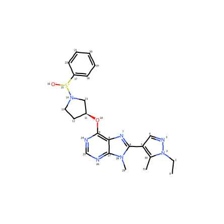 CCn1ncc(-c2nc3c(O[C@H]4CCN([S+]([O-])c5ccccc5)C4)ncnc3n2C)c1C